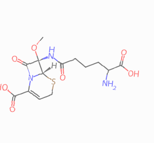 CO[C@@]1(NC(=O)CCCC(N)C(=O)O)C(=O)N2C(C(=O)O)=CCS[C@H]21